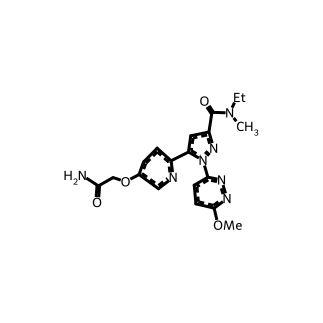 CCN(C)C(=O)c1cc(-c2ccc(OCC(N)=O)cn2)n(-c2ccc(OC)nn2)n1